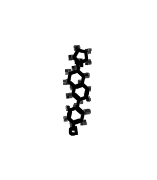 Clc1ccc(-c2ccc3c(c2)CC[C@@H](N2CCCC2)C3)cc1